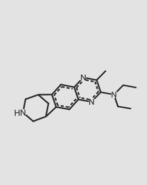 CCN(CC)c1nc2cc3c(cc2nc1C)C1CNCC3C1